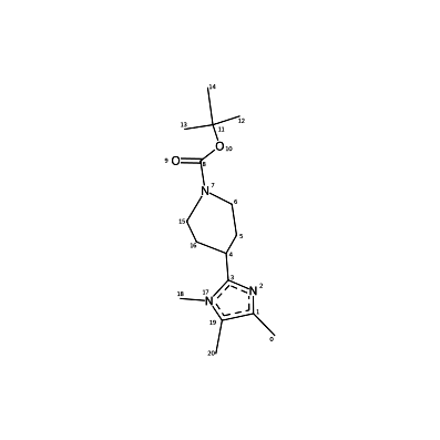 Cc1nc(C2CCN(C(=O)OC(C)(C)C)CC2)n(C)c1C